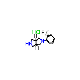 Cl.FC(F)(F)c1ccccc1N1C[C@H]2CNC[C@H]2C1